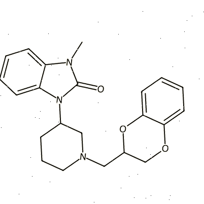 Cn1c(=O)n(C2CCCN(CC3COc4ccccc4O3)C2)c2ccccc21